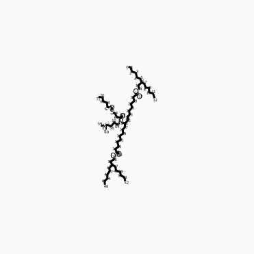 CCCCCCC(CCCCCC)CCOC(=O)CCCCCCCCC(CCCCCCCCC(=O)OCCC(CCCCCC)CCCCCC)N(CCCCN(C)C)C(=O)CCSSCCCCC